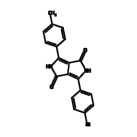 CCc1ccc(C2=C3C(=O)NC(c4ccc(C)cc4)=C3C(=O)N2)cc1